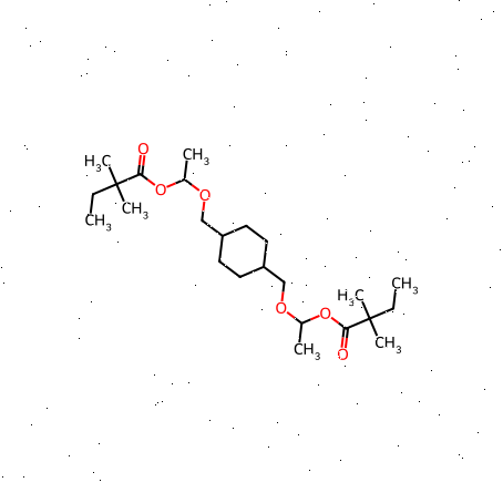 CCC(C)(C)C(=O)OC(C)OCC1CCC(COC(C)OC(=O)C(C)(C)CC)CC1